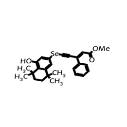 COC(=O)C=C(C#C[Se]c1cc(O)c2c(c1)C(C)(C)CCC2(C)C)c1ccccc1